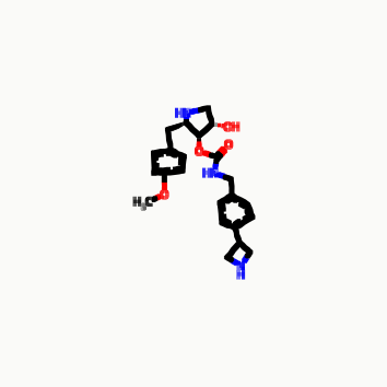 COc1ccc(C[C@H]2NC[C@H](O)[C@H]2OC(=O)NCc2ccc(C3CNC3)cc2)cc1